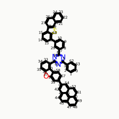 c1ccc(-c2nc(-c3cccc(-c4cccc5c4sc4c6ccccc6ccc54)c3)nc(-c3cccc4oc5cc(-c6cc7ccc8cccc9ccc(c6)c7c89)ccc5c34)n2)cc1